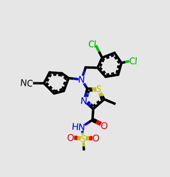 Cc1sc(N(Cc2ccc(Cl)cc2Cl)c2ccc(C#N)cc2)nc1C(=O)NS(C)(=O)=O